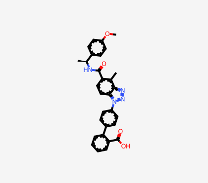 COc1ccc([C@H](C)NC(=O)c2ccc3c(nnn3-c3ccc(-c4ccccc4C(=O)O)cc3)c2C)cc1